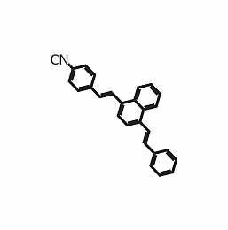 [C-]#[N+]c1ccc(C=Cc2ccc(C=Cc3ccccc3)c3ccccc23)cc1